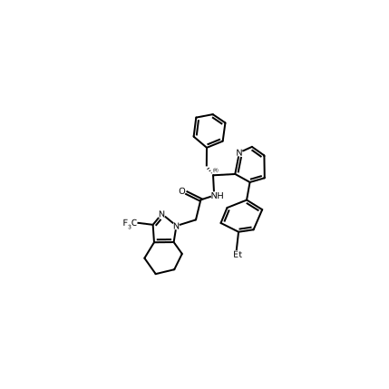 CCc1ccc(-c2cccnc2[C@@H](Cc2ccccc2)NC(=O)Cn2nc(C(F)(F)F)c3c2CCCC3)cc1